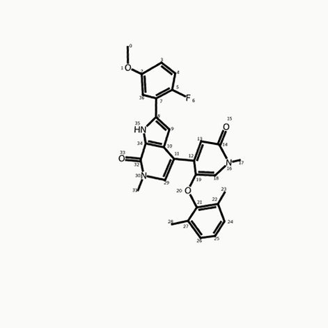 COc1ccc(F)c(-c2cc3c(-c4cc(=O)n(C)cc4Oc4c(C)cccc4C)cn(C)c(=O)c3[nH]2)c1